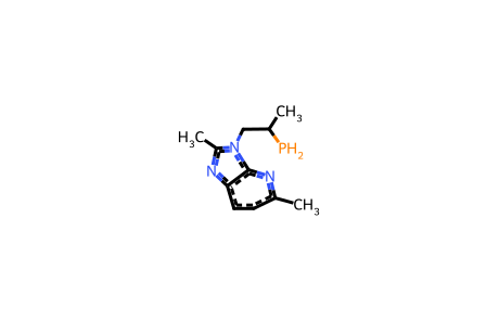 Cc1ccc2nc(C)n(CC(C)P)c2n1